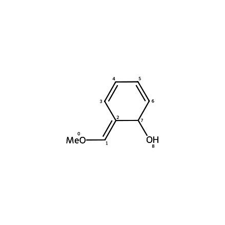 COC=C1C=CC=CC1O